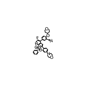 N#Cc1cc(-c2c(F)cnc3c2cc(-c2ccc(N4CCOCC4)cc2)n3S(=O)(=O)c2ccccc2)ccc1OC1CCOCC1